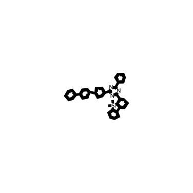 C[Si]1(C)c2ccccc2-c2cccc(-c3nc(-c4ccccc4)nc(-c4ccc(-c5ccc(-c6ccccc6)cc5)cc4)n3)c21